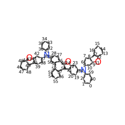 c1ccc(N(c2ccc3c(c2)oc2ccccc23)c2ccc3c(c2)oc2c4ccc(N(c5ccccc5)c5ccc6c(c5)oc5ccccc56)cc4c4ccccc4c32)cc1